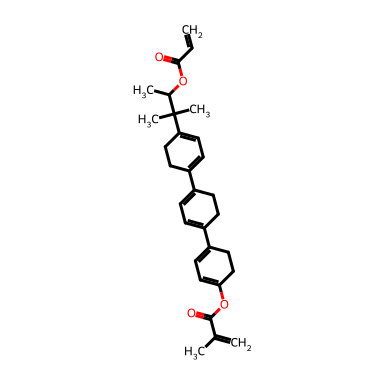 C=CC(=O)OC(C)C(C)(C)C1=CC=C(C2=CC=C(C3=CC=C(OC(=O)C(=C)C)CC3)CC2)CC1